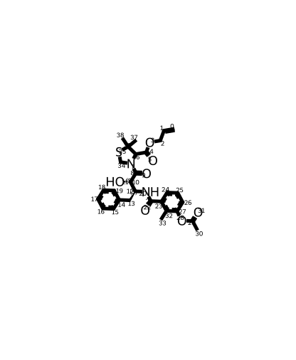 C=CCOC(=O)C1N(C(=O)[C@@H](O)[C@H](Cc2ccccc2)NC(=O)c2cccc(OC(C)=O)c2C)CSC1(C)C